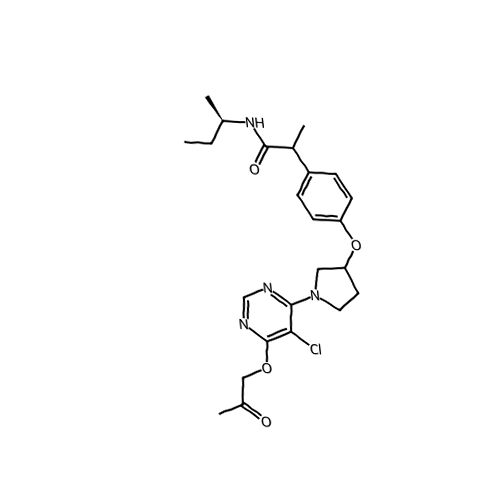 CC[C@@H](C)NC(=O)C(C)c1ccc(OC2CCN(c3ncnc(OCC(C)=O)c3Cl)C2)cc1